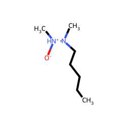 CCCCCN(C)[NH+](C)[O-]